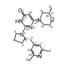 Cc1cc(C[C@@H]2CCCN2c2nc(N3CCO[C@H](C)C3)cc(=O)[nH]2)cc(C)n1